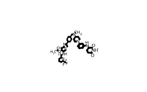 CC(C)Oc1cc2nc(C3CCC(CN(C)C4CCN(c5cccc(NC6CCC(=O)NC6=O)c5)CC4)CC3)cn2cc1NC(=O)c1cccc(C(F)(F)F)n1